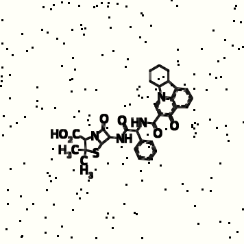 CC1(C)SC2C(NC(=O)C(NC(=O)c3cn4c5c(cccc5c3=O)C3CCCCC34)c3ccccc3)C(=O)N2C1C(=O)O